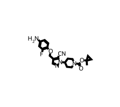 CC1(OC(=O)N2CCC(n3ncc(COc4ccc(N)cc4F)c3C#N)CC2)CC1